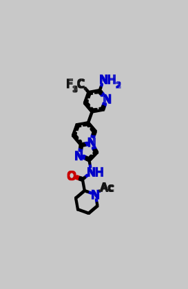 CC(=O)N1CCCCC1C(=O)Nc1cn2cc(-c3cnc(N)c(C(F)(F)F)c3)ccc2n1